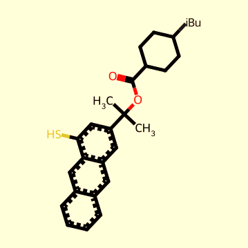 CCC(C)C1CCC(C(=O)OC(C)(C)c2cc(S)c3cc4ccccc4cc3c2)CC1